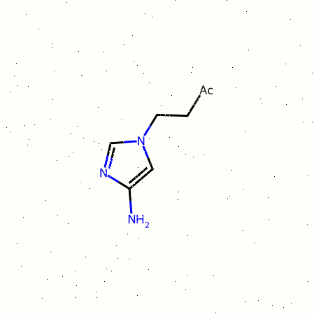 CC(=O)CCn1cnc(N)c1